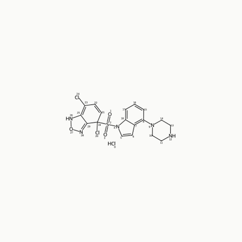 Cl.O=S(=O)(n1ccc2c(N3CCNCC3)cccc21)C1(Cl)C=CC(Cl)=C2NON=C21